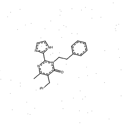 Cc1nc(-c2ncc[nH]2)n(CCc2ccccc2)c(=O)c1CC(C)C